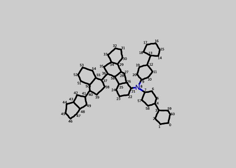 C1CCC(C2CCC(N(C3CCC(C4CCCCC4)CC3)C3CCCC4C3CC3C5CCCCC5CC(C5CCC(C6CC7CCCCC7C6)C6CCCCC65)C34)CC2)CC1